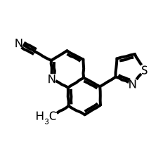 Cc1ccc(-c2ccsn2)c2ccc(C#N)nc12